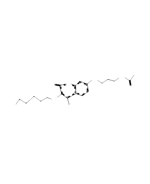 CCCCCCOc1c(O)c2ccc(OCCCOC(C)=O)cc2oc1=O